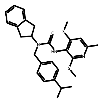 CSc1cc(C)nc(SC)c1NC(=O)N(Cc1ccc(C(C)C)cc1)C1Cc2ccccc2C1